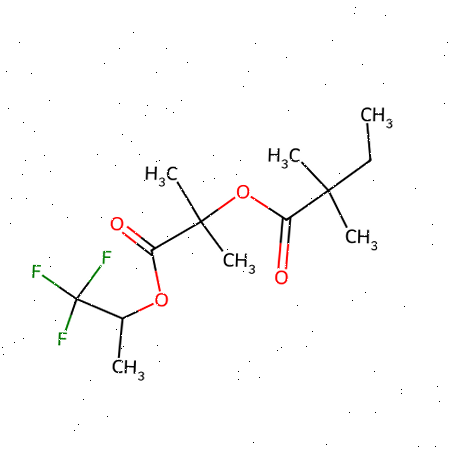 CCC(C)(C)C(=O)OC(C)(C)C(=O)OC(C)C(F)(F)F